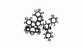 c1ccc(-c2cc(-c3cc4c(c5c3sc3ccccc35)-c3ccccc3C43c4ccccc4Oc4ccccc43)nc(-c3ccccc3)n2)cc1